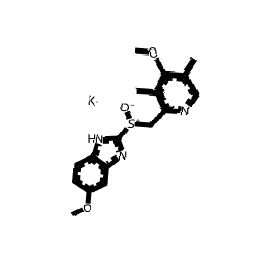 COc1ccc2[nH]c([S+]([O-])Cc3ncc(C)c(OC)c3C)nc2c1.[K]